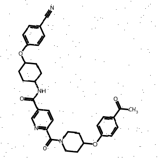 CC(=O)c1ccc(OC2CCN(C(=O)c3ccc(C(=O)NC4CCC(Oc5ccc(C#N)cc5)CC4)cn3)CC2)cc1